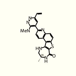 C=Cc1cc(-c2ccc3c(ccc4sc5c(c43)NC[C@@H](C)NC5=O)n2)c(NC)nn1